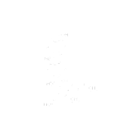 CCCCC(CC)C(C)(C#CO)Oc1ccc(Bc2ccc(O)cc2)cc1